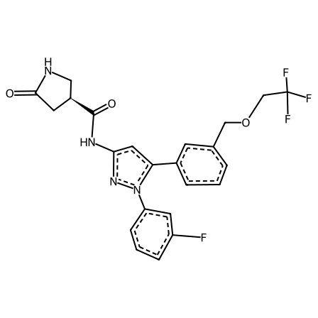 O=C1C[C@H](C(=O)Nc2cc(-c3cccc(COCC(F)(F)F)c3)n(-c3cccc(F)c3)n2)CN1